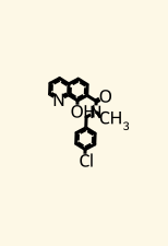 CN(Cc1ccc(Cl)cc1)C(=O)c1ccc2cccnc2c1O